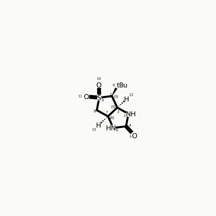 CC(C)(C)[C@H]1[C@H]2NC(=O)N[C@H]2CS1(=O)=O